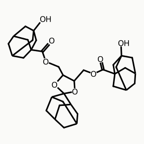 O=C(OCC1OC2(OC1COC(=O)C13CC4CC(CC(O)(C4)C1)C3)C1CC3CC(C1)CC2C3)C12CC3CC(CC(O)(C3)C1)C2